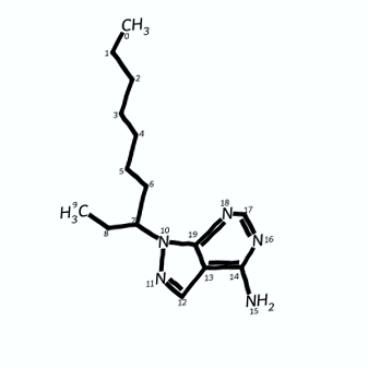 CCCCCCCC(CC)n1ncc2c(N)ncnc21